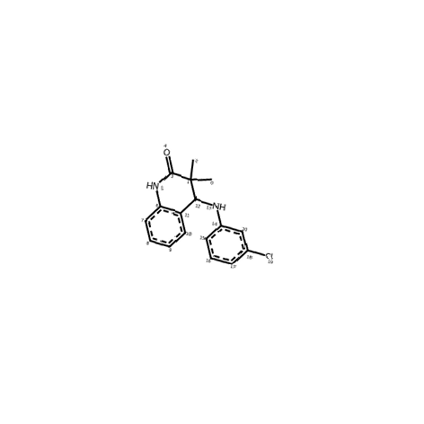 CC1(C)C(=O)Nc2ccccc2C1Nc1cccc(Cl)c1